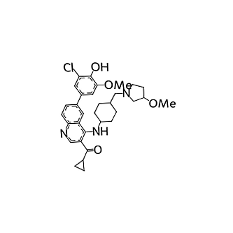 COc1cc(-c2ccc3ncc(C(=O)C4CC4)c(NC4CCC(CN5CCC(OC)C5)CC4)c3c2)cc(Cl)c1O